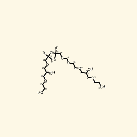 OCCOCC(O)COCCOCOCC(F)(F)OC(F)(F)COCC(O)COCCO